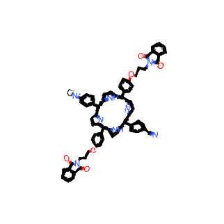 [C-]#[N+]c1ccc(-c2c3nc(c(-c4ccc(OCCCN5C(=O)c6ccccc6C5=O)cc4)c4ccc([nH]4)c(-c4ccc(C#N)cc4)c4nc(c(-c5ccc(OCCCN6C(=O)c7ccccc7C6=O)cc5)c5ccc2[nH]5)C=C4)C=C3)cc1